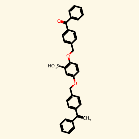 C=C(c1ccccc1)c1ccc(COc2ccc(OCc3ccc(C(=O)c4ccccc4)cc3)c(S(=O)(=O)O)c2)cc1